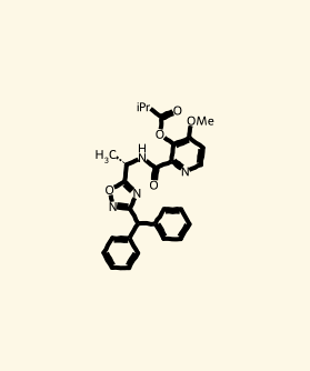 COc1ccnc(C(=O)N[C@@H](C)c2nc(C(c3ccccc3)c3ccccc3)no2)c1OC(=O)C(C)C